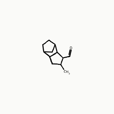 CC1CC2C3CCC(C3)C2C1C=O